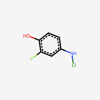 Oc1ccc(NCl)cc1F